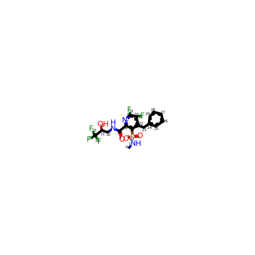 CNS(=O)(=O)c1c(C(=O)NCC(O)C(F)(F)F)nc(F)c(F)c1Cc1ccccc1